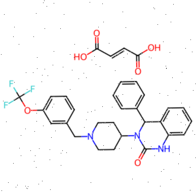 O=C(O)C=CC(=O)O.O=C1Nc2ccccc2C(c2ccccc2)N1C1CCN(Cc2cccc(OC(F)(F)F)c2)CC1